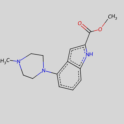 COC(=O)c1cc2c(N3CCN(C)CC3)cccc2[nH]1